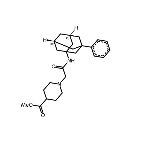 COC(=O)C1CCN(CC(=O)NC23C[C@H]4C[C@@H](C2)CC(c2ccccc2)(C4)C3)CC1